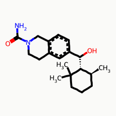 C[C@H]1CCCC(C)(C)[C@@H]1C(O)c1ccc2c(c1)CCN(C(N)=O)C2